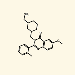 COc1ccc2nc(-c3ccccc3C)n(CC3CCCC(CN)C3)c(=O)c2c1